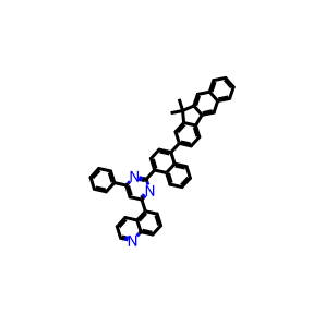 CC1(C)c2cc(-c3ccc(-c4nc(-c5ccccc5)cc(-c5cccc6ncccc56)n4)c4ccccc34)ccc2-c2cc3ccccc3cc21